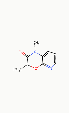 CCOC(=O)C1Oc2ncccc2N(C)C1=O